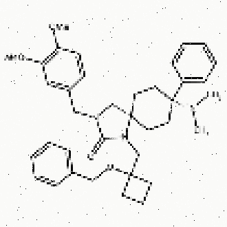 COc1ccc(CN2C[C@]3(CC[C@@](c4ccccc4)(N(C)C)CC3)N(CC3(OCc4ccccc4)CCC3)C2=O)cc1OC